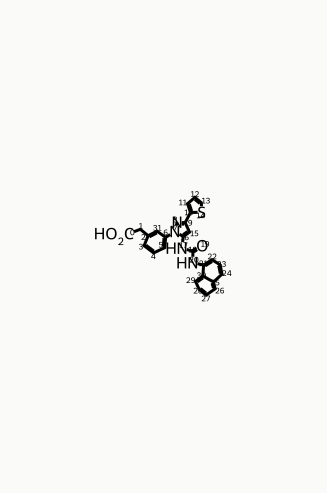 O=C(O)Cc1cccc(-n2nc(-c3cccs3)cc2NC(=O)Nc2cccc3ccccc23)c1